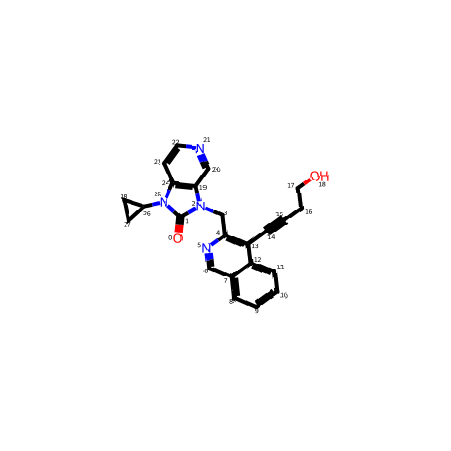 O=c1n(Cc2ncc3ccccc3c2C#CCCO)c2cnccc2n1C1CC1